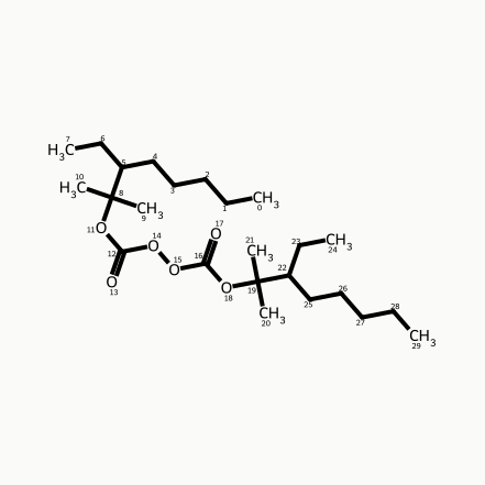 CCCCCC(CC)C(C)(C)OC(=O)OOC(=O)OC(C)(C)C(CC)CCCCC